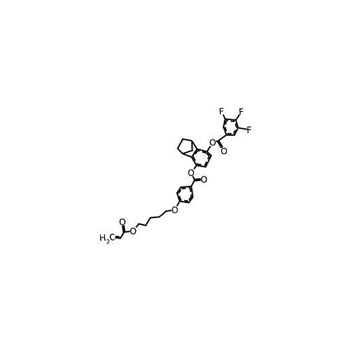 C=CC(=O)OCCCCCOc1ccc(C(=O)Oc2ccc(OC(=O)c3cc(F)c(F)c(F)c3)c3c2C2CCC3C2)cc1